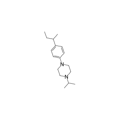 CCC(C)c1ccc(N2CCN(C(C)C)CC2)cc1